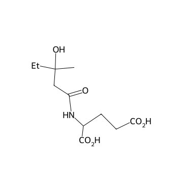 CCC(C)(O)CC(=O)NC(CCC(=O)O)C(=O)O